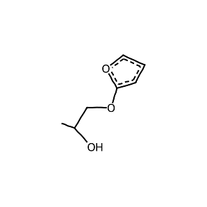 CC(O)COc1ccco1